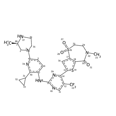 C[C@@H]1CN(c2ccc(Nc3ncc(C(F)(F)F)c(-c4cc5c(s4)C(=O)N(C)CCS5(=O)=O)n3)c(C3CC3)n2)CCN1